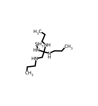 CCCNCC(N[SiH3])(NCCC)NCCC